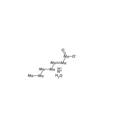 O.[NH4+].[O]=[Mo]([O-])/[Mo]=[Mo]/[Mo][Mo][Mo][Mo]